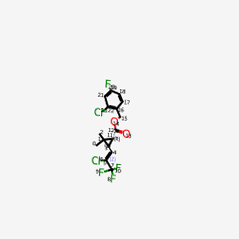 CC1(C)[C@H](/C=C(\Cl)C(F)(F)F)[C@H]1C(=O)OCc1ccc(F)cc1Cl